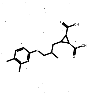 Cc1ccc(SCC(C)CC2C(C(=O)O)[C@H]2C(=O)O)cc1C